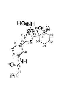 CC(C)CC(=O)Nc1cccc(-c2ccc([C@@]3(CC(=O)NO)CCCCS3(=O)=O)s2)c1